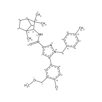 COCc1cc(-c2cc(C(=O)NC3C4(C)CCC(C4)C3(C)C)nn2Cc2ccc(C)cc2)ccc1Cl